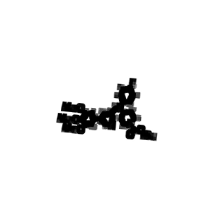 COc1cc(-c2cncc(CN(c3ccc(F)cc3)C3CCN(C(=O)OC(C)(C)C)CC3)c2)cc(OC)c1OC